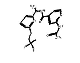 CC(=O)Nc1cc(C(=O)NC(C)c2cccc(OCC(F)(F)I)n2)ccn1